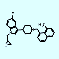 Cc1cccc2cccc(CN3CCC(c4cn(CC5CO5)c5ccc(F)cc45)CC3)c12